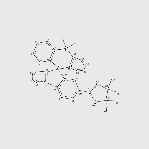 CC1(C)c2ccccc2C2(c3ccccc3-c3ccc(B4OC(C)(C)C(C)(C)O4)cc32)c2ccccc21